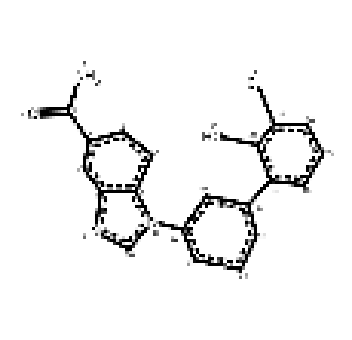 NC(=O)c1ccc2c(c1)ncn2-c1cccc(-c2cccc(Cl)c2O)c1